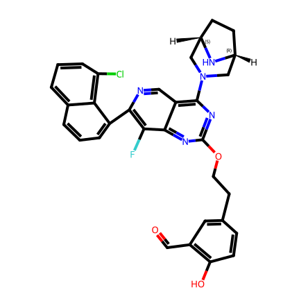 O=Cc1cc(CCOc2nc(N3C[C@H]4CC[C@@H](C3)N4)c3cnc(-c4cccc5cccc(Cl)c45)c(F)c3n2)ccc1O